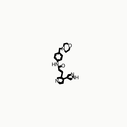 O=C(C=Cc1cnccc1-c1cn[nH]c1)Nc1ccc(CN2CCOCC2)cc1